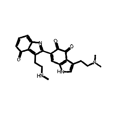 CNCCC1=C2C(=O)C=CC=C2N=C1C1=Cc2[nH]cc(CCN(C)C)c2C(=O)C1=O